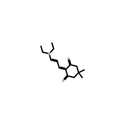 CCN(/C=C/C=C1C(=O)CC(C)(C)CC1=O)CC